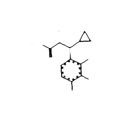 COC(=O)[C@H](C)[C@H](c1ccc(C(C)=O)c(O)c1F)C1CC1